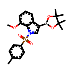 COc1cccc2c(B3OC(C)(C)C(C)(C)O3)cn(S(=O)(=O)c3ccc(C)cc3)c12